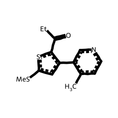 CCC(=O)c1sc(SC)cc1-c1cnccc1C